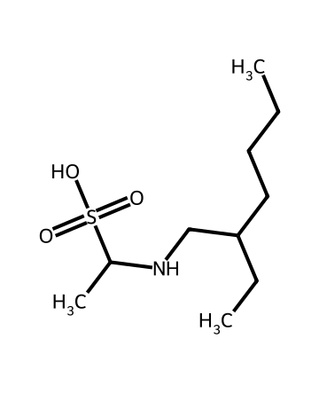 CCCCC(CC)CNC(C)S(=O)(=O)O